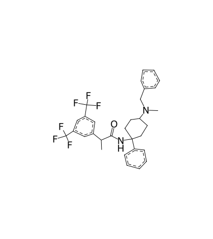 CC(C(=O)NC1(c2ccccc2)CCC(N(C)Cc2ccccc2)CC1)c1cc(C(F)(F)F)cc(C(F)(F)F)c1